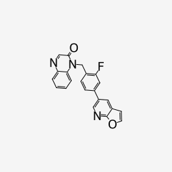 O=c1cnc2ccccc2n1Cc1ccc(-c2cnc3occc3c2)cc1F